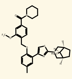 Cc1ccc(OCc2ccc(C(=O)N3CCCCC3)cc2OC(F)(F)F)c(-c2csc(N3C[C@H]4CC[C@@H](C3)[C@H]4C(=O)O)n2)c1